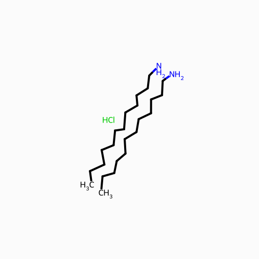 CCCCCCCCCCCCN.CCCCCCCCCCCCN.Cl